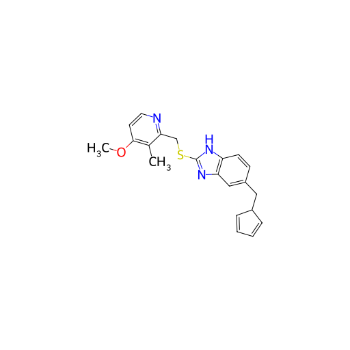 COc1ccnc(CSc2nc3cc(CC4C=CC=C4)ccc3[nH]2)c1C